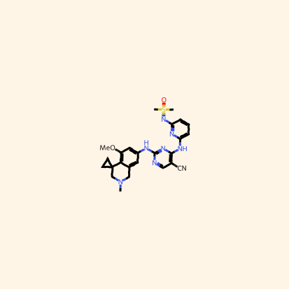 COc1cc(Nc2ncc(C#N)c(Nc3cccc(N=S(C)(C)=O)n3)n2)cc2c1C1(CC1)CN(C)C2